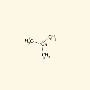 [CH3][2Ga]([CH3])[CH3]